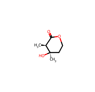 C[C@H]1C(=O)OCC[C@@]1(C)O